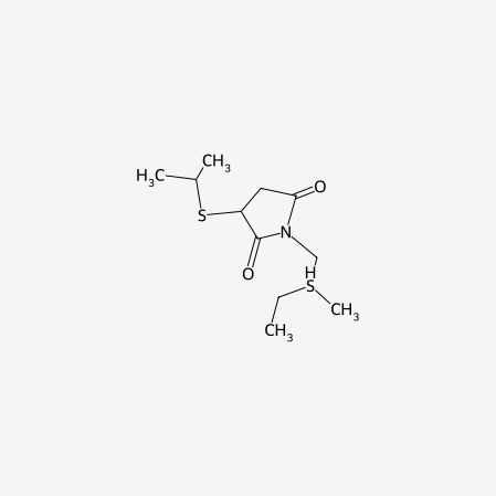 CC[SH](C)CN1C(=O)CC(SC(C)C)C1=O